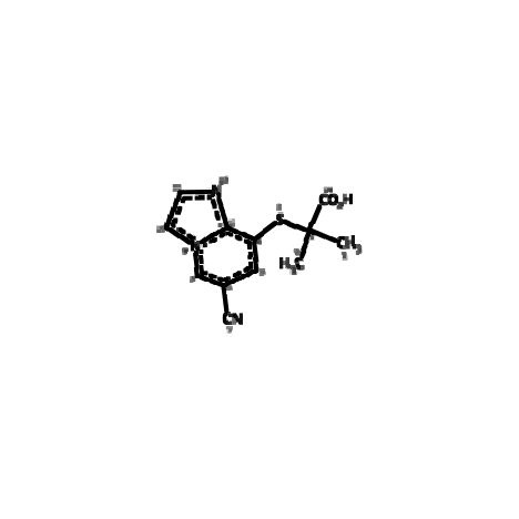 CC(C)(Sc1cc(C#N)cn2ccnc12)C(=O)O